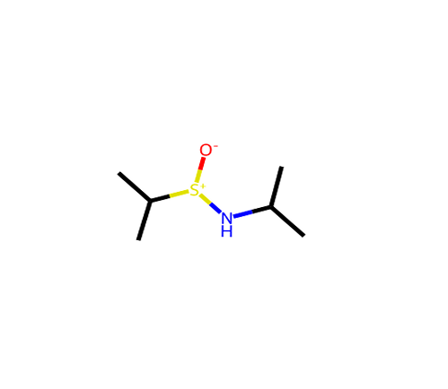 CC(C)N[S+]([O-])C(C)C